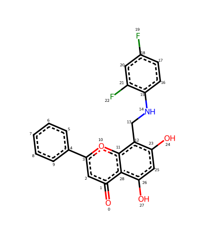 O=c1cc(-c2ccccc2)oc2c(CNc3ccc(F)cc3F)c(O)cc(O)c12